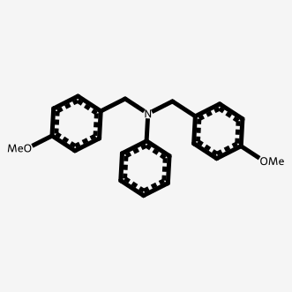 COc1ccc(CN(Cc2ccc(OC)cc2)c2ccccc2)cc1